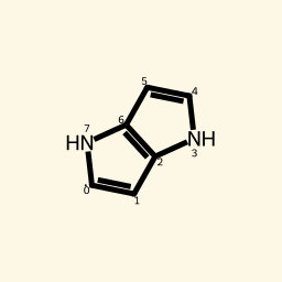 [c]1cc2[nH]ccc2[nH]1